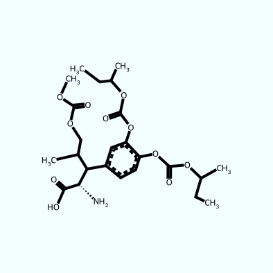 CCC(C)OC(=O)Oc1ccc(C(C(C)COC(=O)OC)[C@H](N)C(=O)O)cc1OC(=O)OC(C)CC